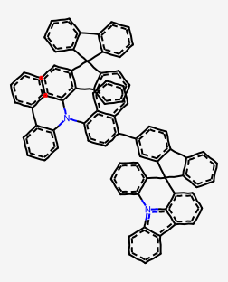 c1ccc(-c2ccccc2N(c2cccc3c2-c2ccccc2C32c3ccccc3-c3ccccc32)c2ccc(-c3ccc4c(c3)C3(c5ccccc5-4)c4ccccc4-n4c5ccccc5c5cccc3c54)c3ccccc23)cc1